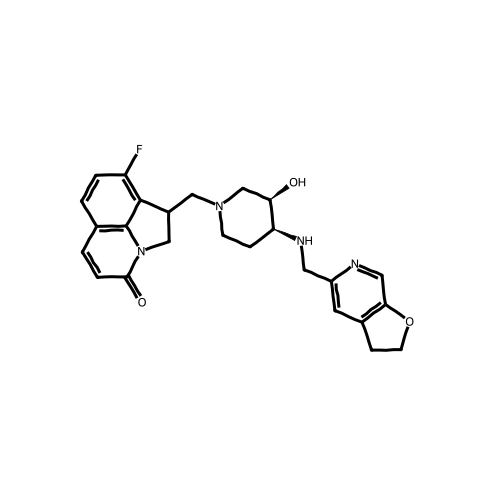 O=c1ccc2ccc(F)c3c2n1CC3CN1CC[C@H](NCc2cc3c(cn2)OCC3)[C@H](O)C1